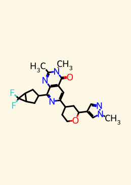 Cc1nc2c(C3CC4C(C3)C4(F)F)nc(C3CCOC(c4cnn(C)c4)C3)cc2c(=O)n1C